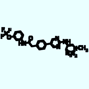 C=C/C(=C\N(C)C)Nc1ncc(-c2ccc(CC(=O)Nc3cccc(OC(F)(F)F)c3)cc2)cn1